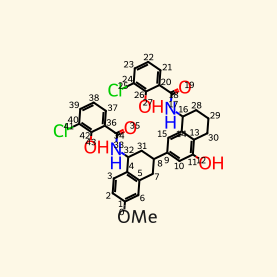 COc1ccc2c(c1)CC(c1cc(O)c3c(c1)C(NC(=O)c1cccc(Cl)c1O)CCC3)CC2NC(=O)c1cccc(Cl)c1O